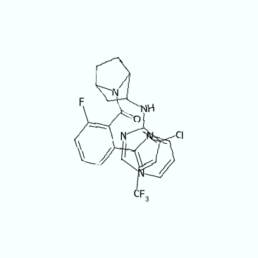 O=C(c1c(F)cccc1-c1ncccn1)N1C2CCC1C(Nc1ncc(C(F)(F)F)cc1Cl)C2